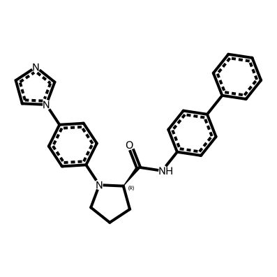 O=C(Nc1ccc(-c2ccccc2)cc1)[C@H]1CCCN1c1ccc(-n2ccnc2)cc1